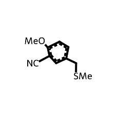 COc1ccc(CSC)cc1C#N